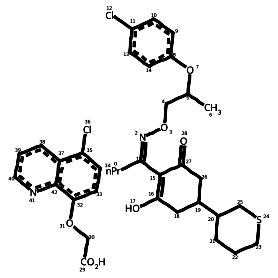 CCCC(=NOCC(C)Oc1ccc(Cl)cc1)C1=C(O)CC(C2CCCSC2)CC1=O.O=C(O)COc1ccc(Cl)c2cccnc12